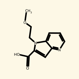 COCCn1c(C(=O)O)cc2ncccc21